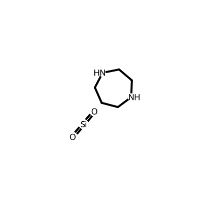 C1CNCCNC1.O=[Si]=O